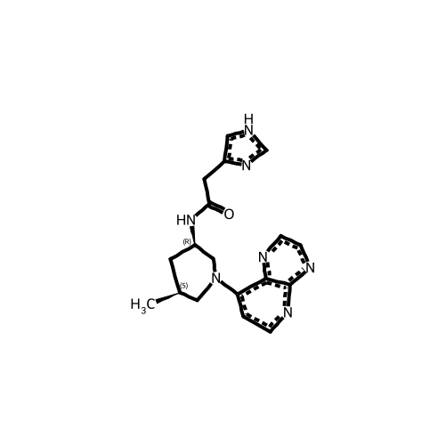 C[C@H]1C[C@@H](NC(=O)Cc2c[nH]cn2)CN(c2ccnc3nccnc23)C1